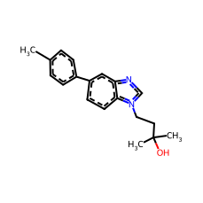 Cc1ccc(-c2ccc3c(c2)ncn3CCC(C)(C)O)cc1